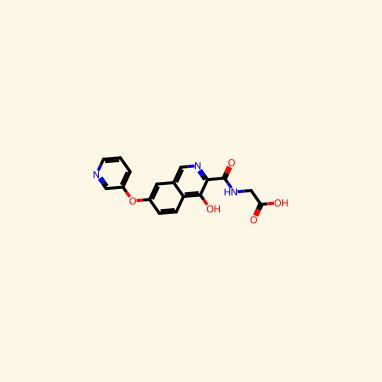 O=C(O)CNC(=O)c1ncc2cc(Oc3cccnc3)ccc2c1O